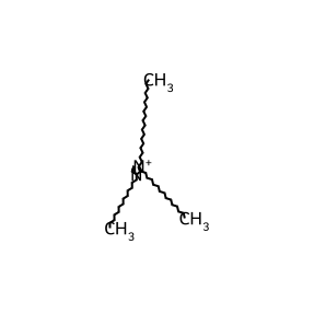 CCCCCCCCCCCCCCCCCCC[n+]1ccn(CCCCCCCCCCCCC)c1CCCCCCCCCCCCCC